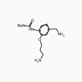 CNC(=O)Nc1ccc(CN)cc1OCCCN